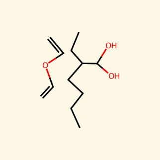 C=COC=C.CCCCC(CC)C(O)O